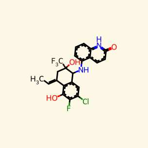 CC=C1CC(O)(C(F)(F)F)C(Nc2cccc3[nH]c(=O)ccc23)c2cc(Cl)c(F)c(O)c21